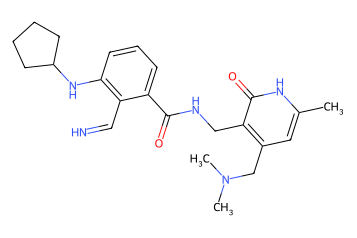 Cc1cc(CN(C)C)c(CNC(=O)c2cccc(NC3CCCC3)c2C=N)c(=O)[nH]1